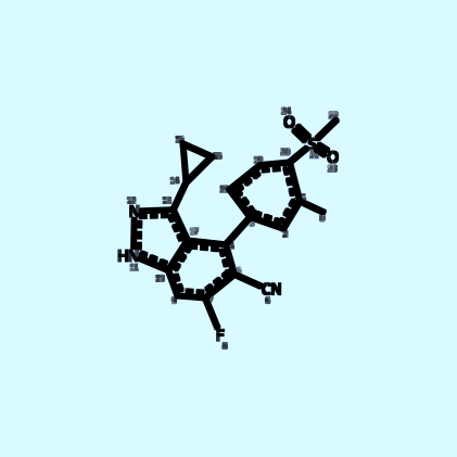 Cc1cc(-c2c(C#N)c(F)cc3[nH]nc(C4CC4)c23)ccc1S(C)(=O)=O